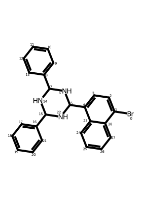 Brc1ccc(C2NC(c3ccccc3)NC(c3ccccc3)N2)c2ccccc12